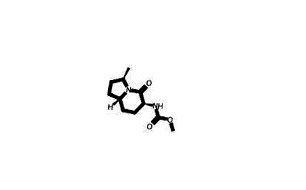 COC(=O)N[C@H]1CC[C@@H]2CC[C@@H](C)N2C1=O